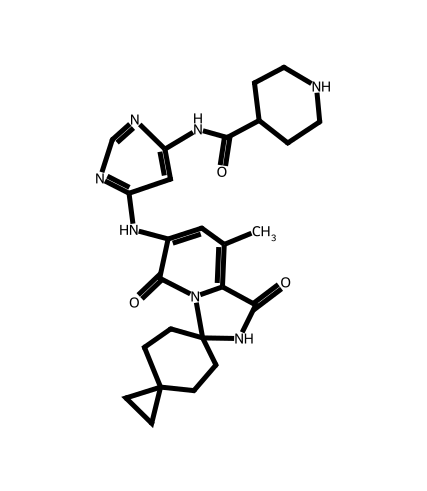 Cc1cc(Nc2cc(NC(=O)C3CCNCC3)ncn2)c(=O)n2c1C(=O)NC21CCC2(CC2)CC1